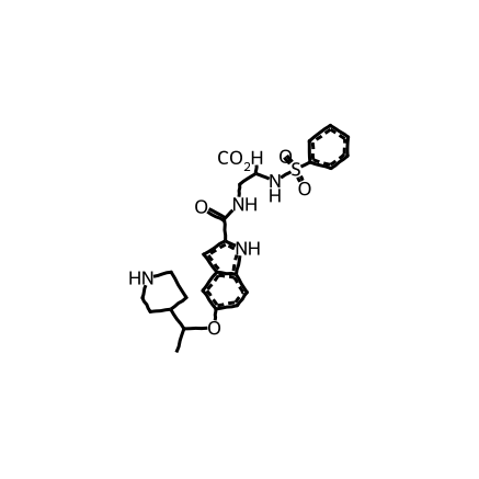 CC(Oc1ccc2[nH]c(C(=O)NCC(NS(=O)(=O)c3ccccc3)C(=O)O)cc2c1)C1CCNCC1